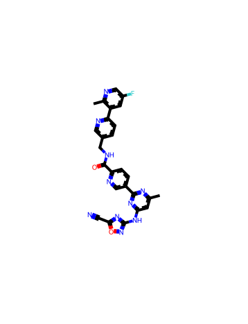 Cc1cc(Nc2noc(C#N)n2)nc(-c2ccc(C(=O)NCc3ccc(-c4cc(F)cnc4C)nc3)nc2)n1